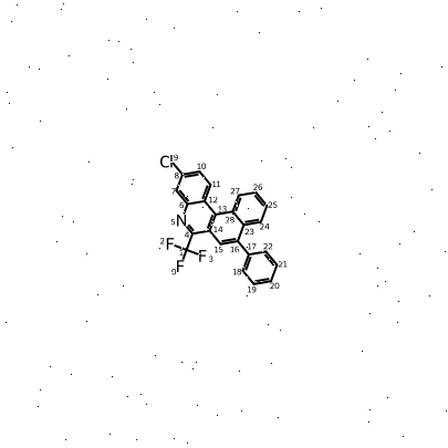 FC(F)(F)c1nc2cc(Cl)ccc2c2c1cc(-c1ccccc1)c1ccccc12